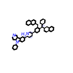 N/C=C(\C=C/Cc1ccc2c(c1)c1cnccc1n2-c1ccccc1)c1ccc(/C(=C2/C=CC=CC2)C2C=Cc3ccccc3C2)c(Cc2ccc3ccccc3c2)c1